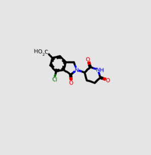 O=C1CCC(N2Cc3cc(C(=O)O)cc(Cl)c3C2=O)C(=O)N1